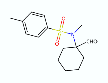 Cc1ccc(S(=O)(=O)N(C)C2([C]=O)CCCCC2)cc1